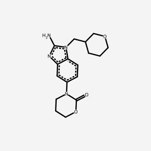 Nc1nc2cc(N3CCCOC3=O)ccc2n1CC1CCCOC1